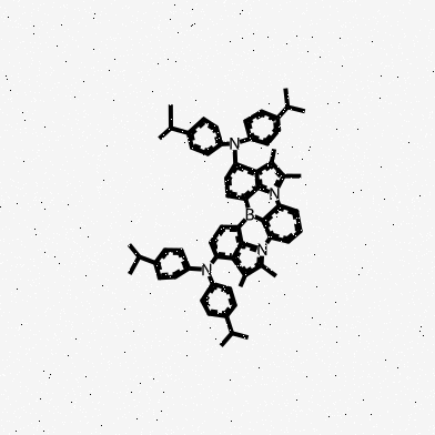 Cc1c(C)n2c3c(ccc(N(c4ccc(C(C)C)cc4)c4ccc(C(C)C)cc4)c13)B1c3c-2cccc3-n2c(C)c(C)c3c(N(c4ccc(C(C)C)cc4)c4ccc(C(C)C)cc4)ccc1c32